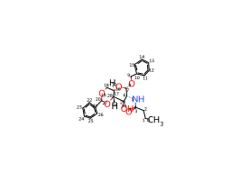 CCCC(=O)N[C@H]1[C@@H](OCc2ccccc2)O[C@@H]2COC(c3ccccc3)O[C@H]2[C@@H]1O